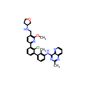 COc1nc(-c2cccc(-c3cccc(Nc4nc(C)nc5cccnc45)c3C)c2Cl)ccc1CN[C@H]1CCOC1